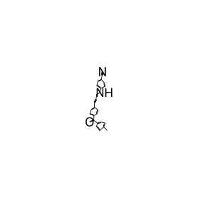 Cc1ccc(C(=O)c2ccc(C#CCNc3ccc(C#N)cc3)cc2)cc1